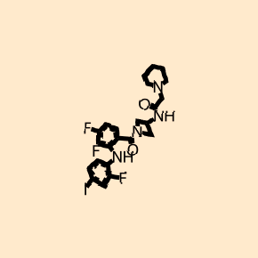 O=C(CN1CCCCC1)NC1CN(C(=O)c2ccc(F)c(F)c2Nc2ccc(I)cc2F)C1